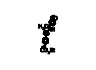 CCOC(=O)CCc1ccc([C@H]2CC[C@H](N[C@H](C)c3ccc4c(c3)CCO4)C2)cc1